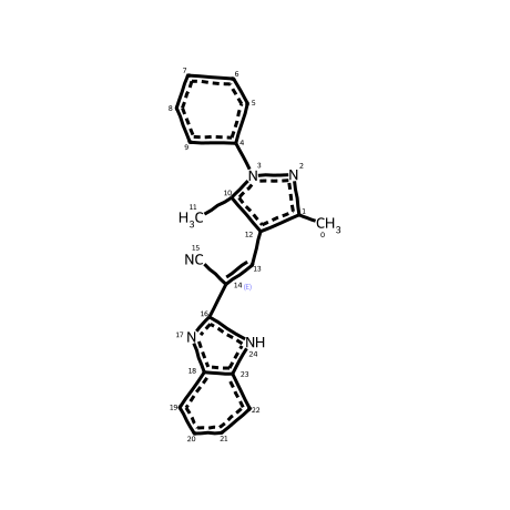 Cc1nn(-c2ccccc2)c(C)c1/C=C(\C#N)c1nc2ccccc2[nH]1